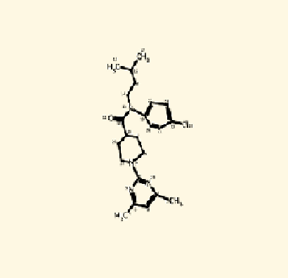 Cc1cc(C)nc(N2CCC(C(=O)N(CCC(C)C)c3ccc(Cl)cc3)CC2)n1